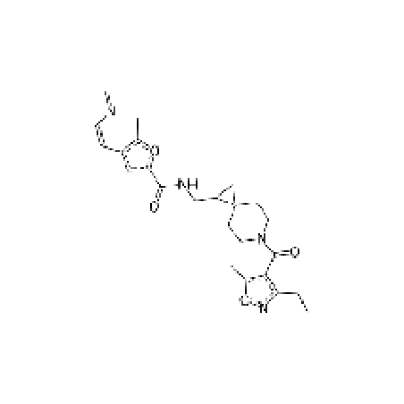 C=N/C=C\c1cc(C(=O)NCC2CC23CCN(C(=O)c2c(CC)noc2C)CC3)oc1C